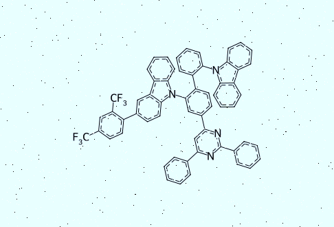 FC(F)(F)c1ccc(-c2ccc3c(c2)c2ccccc2n3-c2cc(-c3cc(-c4ccccc4)nc(-c4ccccc4)n3)ccc2-c2ccccc2-n2c3ccccc3c3ccccc32)c(C(F)(F)F)c1